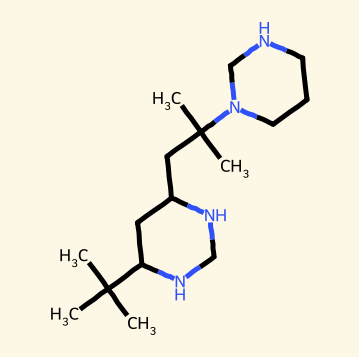 CC(C)(C)C1CC(CC(C)(C)N2CCCNC2)NCN1